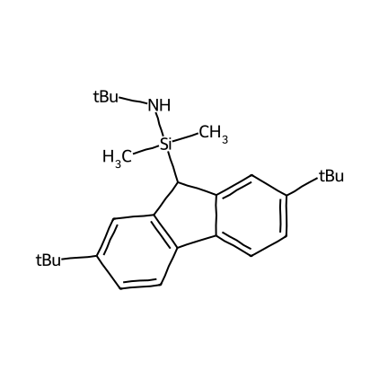 CC(C)(C)N[Si](C)(C)C1c2cc(C(C)(C)C)ccc2-c2ccc(C(C)(C)C)cc21